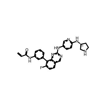 C=CC(=O)Nc1cccc(-c2c(F)ccc3cnc(Nc4ccc(N[C@H]5CCNC5)nc4)nc23)c1